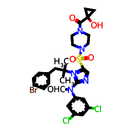 CC(C)(Cc1ccc(Br)cc1)n1c(S(=O)(=O)N2CCN(C(=O)C3(O)CC3)CC2)cnc1N(C=O)c1cc(Cl)cc(Cl)c1